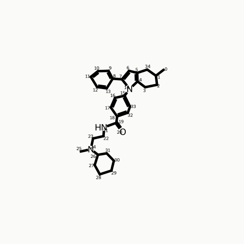 CC1CCc2c(cc(-c3ccccc3)n2-c2ccc(C(=O)NCCN(C)C3CCCCC3)cc2)C1